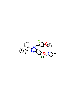 Cc1ccc(COc2cc3c(cc2Cl)nc([C@H]2CCCC[C@H]2C(=O)O)n3Cc2ccc(OC(F)(F)F)cc2F)nc1